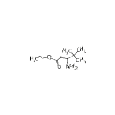 CCCOC(=O)CC(N)C(C)(C)C